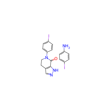 Nc1ccc(I)cc1.O=C1c2[nH]ncc2CCN1c1ccc(I)cc1